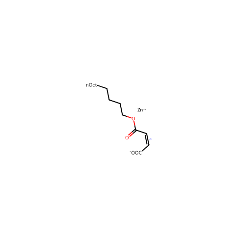 CCCCCCCCCCCCOC(=O)/C=C\C(=O)[O-].[Zn+]